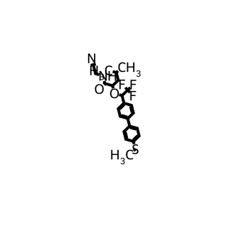 CSc1ccc(-c2ccc(C(OC(CC(C)C)C(=O)NCC#N)C(F)(F)F)cc2)cc1